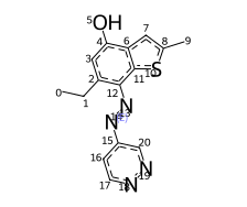 CCc1cc(O)c2cc(C)sc2c1/N=N/c1ccnnc1